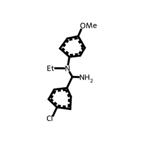 CCN(c1ccc(OC)cc1)C(N)c1ccc(Cl)cc1